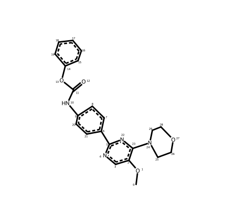 COc1cnc(-c2ccc(NC(=O)Oc3ccccc3)cc2)nc1N1CCOCC1